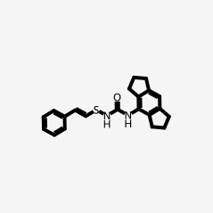 O=C(NS/C=C/c1ccccc1)Nc1c2c(cc3c1CCC3)CCC2